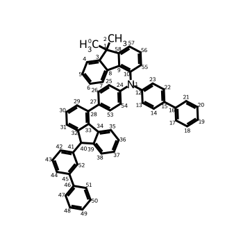 CC1(C)c2ccccc2-c2c(N(c3ccc(-c4ccccc4)cc3)c3ccc(-c4cccc5c4-c4ccccc4C5c4cccc(-c5ccccc5)c4)cc3)cccc21